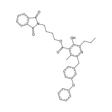 CCCc1nc(Cc2cccc(Oc3ccccc3)c2)c(C)c(C(=O)OCCCCN2C(=O)c3ccccc3C2=O)c1O